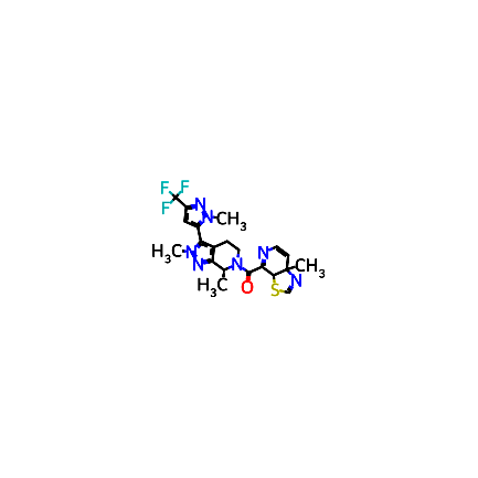 C[C@H]1c2nn(C)c(-c3cc(C(F)(F)F)nn3C)c2CCN1C(=O)C1=NC=CC2(C)N=CSC12